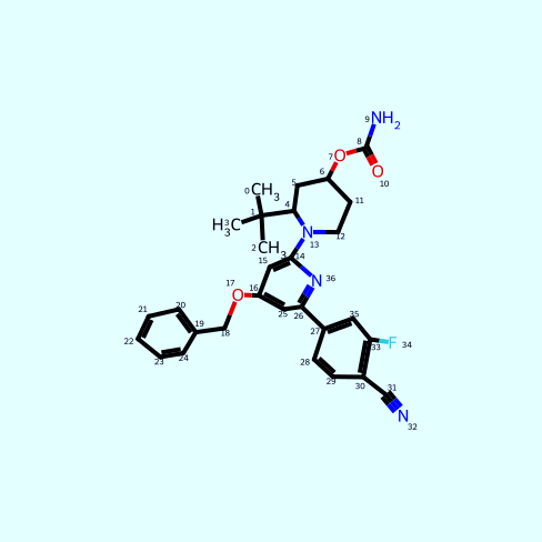 CC(C)(C)C1CC(OC(N)=O)CCN1c1cc(OCc2ccccc2)cc(-c2ccc(C#N)c(F)c2)n1